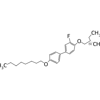 CCCCCCCCOc1ccc(-c2ccc(OC[C@@H](C)CC)c(F)c2)cc1